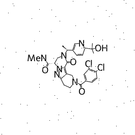 CNC(=O)[C@@H]1CN([C@@H](C)c2ccc(C(C)(C)O)nc2)C(=O)c2c3c(nn21)C[C@@H](C)N(C(=O)c1ccc(Cl)c(Cl)c1)C3